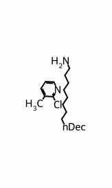 CCCCCCCCCCCCCCCCCCN.Cc1cccnc1Cl